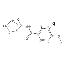 COc1ccc(C(=O)NC2CC3CC2CN3)nc1Cl